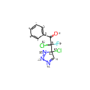 O=C(c1ccccc1)C(F)(Cl)C1(Cl)C=NN=N1